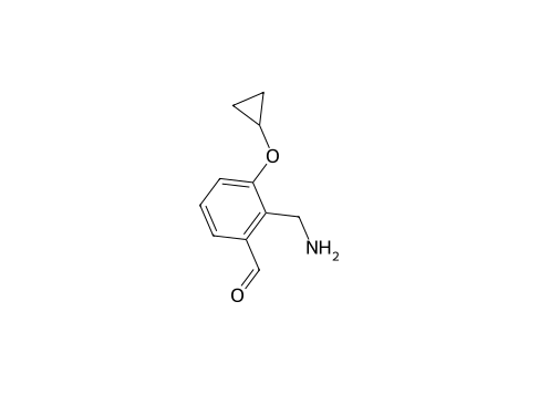 NCc1c(C=O)cccc1OC1CC1